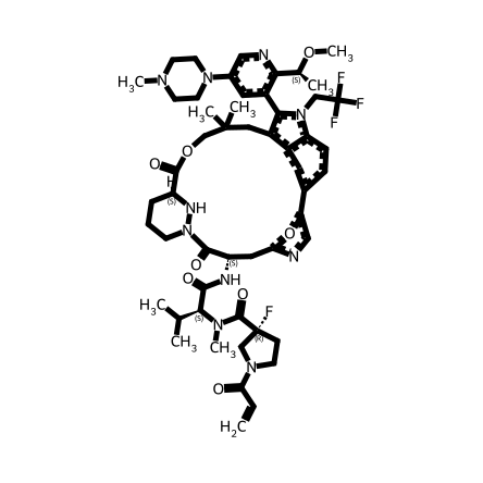 C=CC(=O)N1CC[C@](F)(C(=O)N(C)[C@H](C(=O)N[C@H]2Cc3ncc(o3)-c3ccc4c(c3)c(c(-c3cc(N5CCN(C)CC5)cnc3[C@H](C)OC)n4CC(F)(F)F)CC(C)(C)COC(=O)[C@@H]3CCCN(N3)C2=O)C(C)C)C1